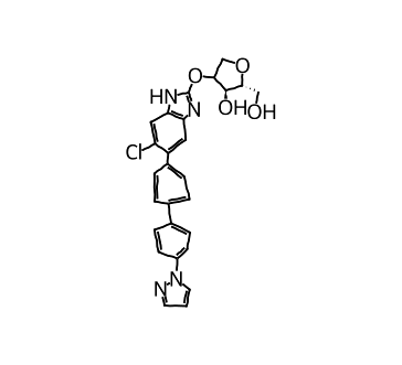 OC[C@H]1OCC(Oc2nc3cc(-c4ccc(-c5ccc(-n6cccn6)cc5)cc4)c(Cl)cc3[nH]2)[C@@H]1O